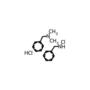 CN(C)Cc1ccccc1.Cl.ClNCc1ccccc1